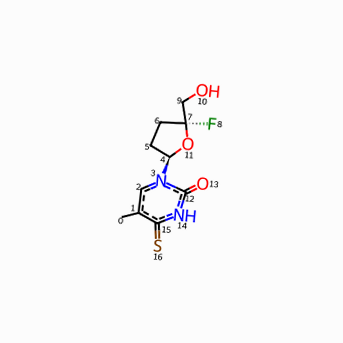 Cc1cn([C@H]2CC[C@@](F)(CO)O2)c(=O)[nH]c1=S